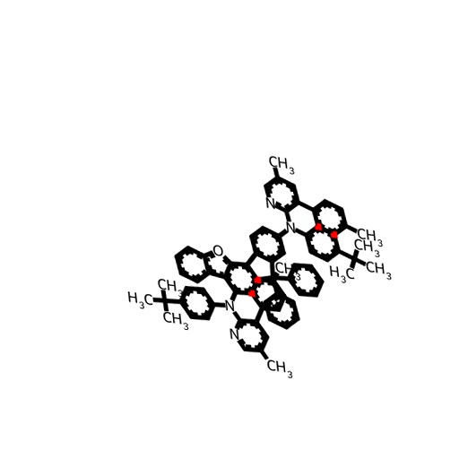 Cc1ccc(-c2cc(C)cnc2N(c2ccc(C(C)(C)C)cc2)c2ccc3c(c2)C(c2ccccc2)(c2ccccc2)c2cc(N(c4ccc(C(C)(C)C)cc4)c4ncc(C)cc4-c4ccc(C)cc4)c4c(oc5ccccc54)c2-3)cc1